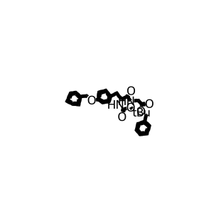 CC(C)(C)OC(=O)NC(Cc1ccc(OCc2ccccc2)cc1)C(=O)NCC(=O)OCc1ccccc1